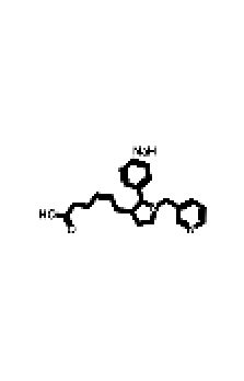 O=C(O)CC/C=C\CC1CCN(Cc2cccnc2)C1c1ccccc1.[NaH]